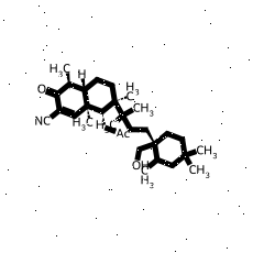 CC(=O)C[C@@H]1[C@@]2(C)C=C(C#N)C(=O)[C@@H](C)[C@@H]2CC[C@@]1(C)C(C)(C)CC[C@@]1(CO)CCC(C)(C)CC1C